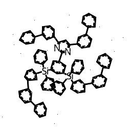 c1ccc(-c2cccc(-c3cccc([Si](c4ccccc4)(c4ccccc4)c4cc(-c5nc(-c6cccc(-c7ccccc7)c6)cc(-c6cccc(-c7ccccc7)c6)n5)cc([Si](c5ccccc5)(c5ccccc5)c5cccc(-c6cccc(-c7ccccc7)c6)c5)c4)c3)c2)cc1